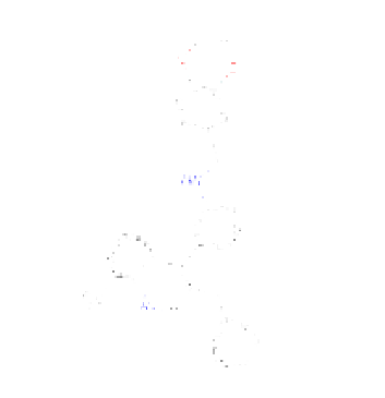 FC(F)(F)c1cccc2c(-c3cccc(NCc4ccc5c(c4)OCCO5)c3)c(Cc3ccccc3)cnc12